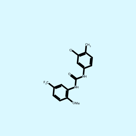 COc1ccc(C(F)(F)F)cc1NC(=O)Nc1ccc(C)c(Cl)c1